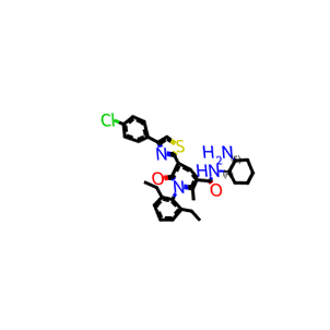 CCc1cccc(CC)c1-n1c(C)c(C(=O)N[C@@H]2CCCC[C@@H]2N)cc(-c2nc(-c3ccc(Cl)cc3)cs2)c1=O